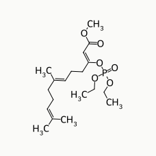 CCOP(=O)(OCC)O/C(=C\C(=O)OC)CC/C=C(\C)CCC=C(C)C